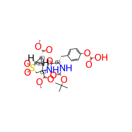 COC(=O)[C@@H]1[C@@H]2[C@H]1S(=O)(=O)C[C@@]2(NC(=O)[C@H](Cc1ccc(OC(=O)O)cc1)NC(=O)OC(C)(C)C)C(=O)OC